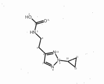 O=C(O)NCCc1cnn(C2CC2)n1